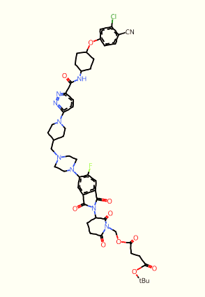 CC(C)(C)OC(=O)CCC(=O)OCN1C(=O)CCC(N2C(=O)c3cc(F)c(N4CCN(CC5CCN(c6ccc(C(=O)NC7CCC(Oc8ccc(C#N)c(Cl)c8)CC7)nn6)CC5)CC4)cc3C2=O)C1=O